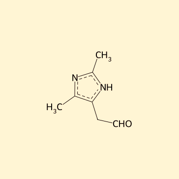 Cc1nc(C)c(CC=O)[nH]1